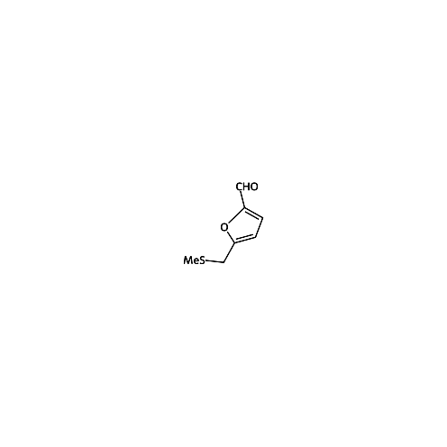 CSCc1ccc(C=O)o1